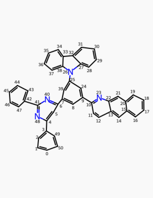 c1ccc(-c2cc(-c3cc(-c4ccc5cc6ccccc6cc5n4)cc(-n4c5ccccc5c5ccccc54)c3)nc(-c3ccccc3)n2)cc1